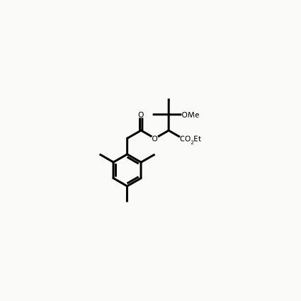 CCOC(=O)C(OC(=O)Cc1c(C)cc(C)cc1C)C(C)(C)OC